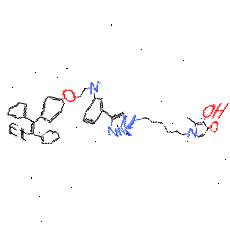 CC/C(=C(\c1ccccc1)c1ccc(OCCN(C)c2cccc(-c3cn(CCCCCCn4ccc(=O)c(O)c4C)nn3)c2)cc1)c1ccccc1